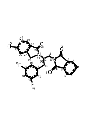 O=C1c2ccccc2C(=O)N1C[C@@H](Cc1cc(F)cc(F)c1)N1Cc2cc(Cl)ncc2C1=O